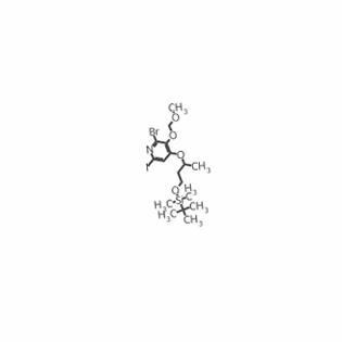 COCOc1c(OC(C)CCO[Si](C)(C)C(C)(C)C)cc(I)nc1Br